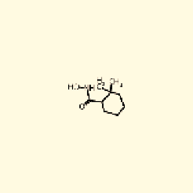 CC1(C)CCCCC1C(=O)NO